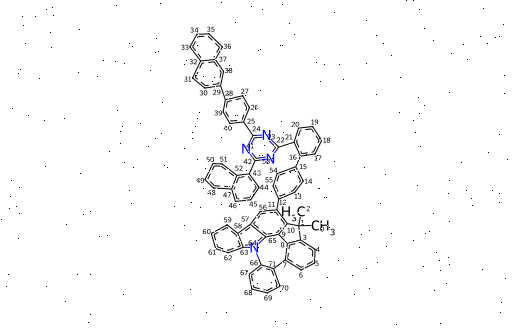 CC1(C)c2cccc3c2-c2c1c(-c1ccc(-c4ccccc4-c4nc(-c5ccc(-c6ccc7ccccc7c6)cc5)nc(-c5cccc6ccccc56)n4)cc1)cc1c4ccccc4n(c21)-c1ccccc1-3